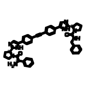 N[C@@H](C(=O)N1CCC[C@H]1c1ncc(-c2ccc(C#Cc3ccc(-c4cnc([C@@H]5CCCN5C(=O)NCc5ccccc5)[nH]4)cc3)cc2)[nH]1)c1ccccc1